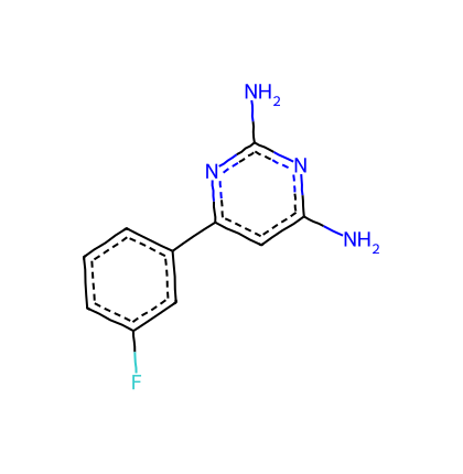 Nc1cc(-c2cccc(F)c2)nc(N)n1